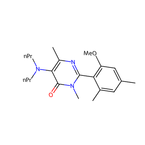 CCCN(CCC)c1c(C)nc(-c2c(C)cc(C)cc2OC)n(C)c1=O